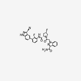 N#Cc1n[nH]c2ccc(-c3cccc(NC(=O)[C@@H]4C[C@@H](F)CN4C(=O)Cn4nc(C(N)=O)c5ccccc54)c3F)cc12